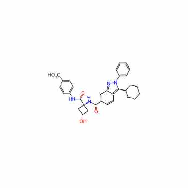 O=C(O)c1ccc(NC(=O)[C@]2(NC(=O)c3ccc4c(C5CCCCC5)n(-c5ccccc5)nc4c3)C[C@H](O)C2)cc1